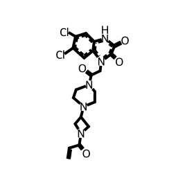 C=CC(=O)N1CC(N2CCN(C(=O)Cn3c(=O)c(=O)[nH]c4cc(Cl)c(Cl)cc43)CC2)C1